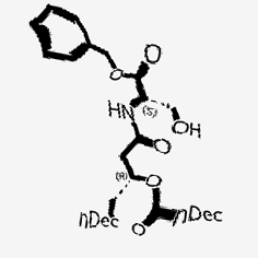 CCCCCCCCCCC[C@H](CC(=O)N[C@@H](CO)C(=O)OCc1ccccc1)OC(=O)CCCCCCCCCC